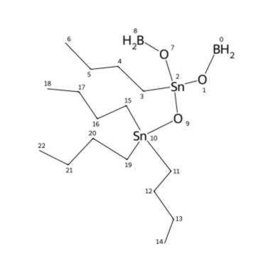 B[O][Sn]([CH2]CCC)([O]B)[O][Sn]([CH2]CCC)([CH2]CCC)[CH2]CCC